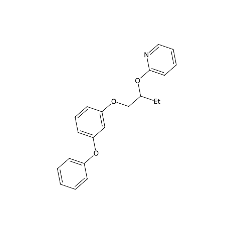 CCC(COc1cccc(Oc2ccccc2)c1)Oc1ccccn1